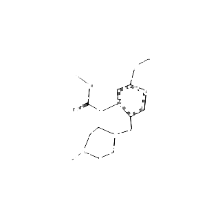 CCOc1ccc(CN2CCN(CC)CC2)c(CC(=N)NN)c1